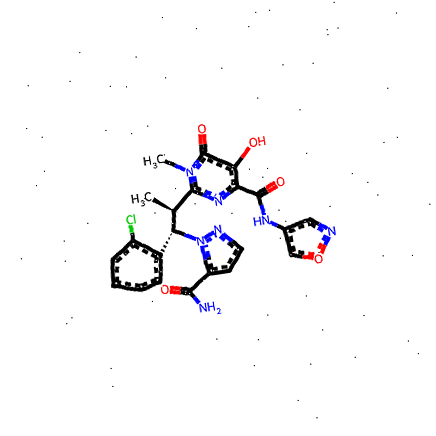 C[C@@H](c1nc(C(=O)Nc2cnoc2)c(O)c(=O)n1C)[C@@H](c1ccccc1Cl)n1nccc1C(N)=O